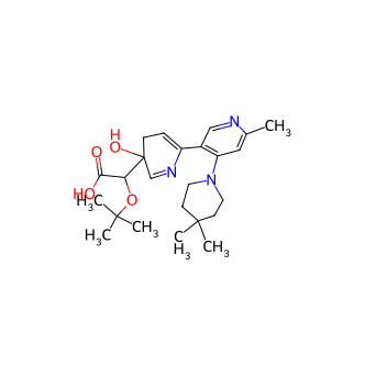 Cc1cc(N2CCC(C)(C)CC2)c(C2=CCC(O)(C(OC(C)(C)C)C(=O)O)C=N2)cn1